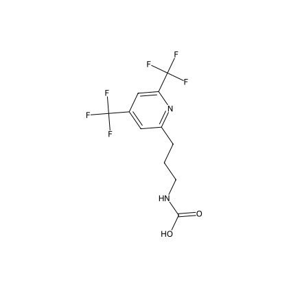 O=C(O)NCCCc1cc(C(F)(F)F)cc(C(F)(F)F)n1